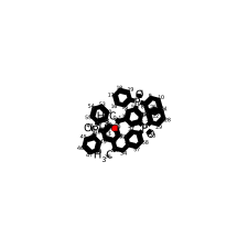 CC(C)c1cc(P(=O)(c2ccccc2)c2ccccc2)cc(P(=O)(c2ccccc2)c2ccc(CC(C)c3cccc(P(=O)(c4ccccc4)c4ccccc4)c3)cc2)c1